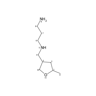 CC1CC(CNCCCN)CO1